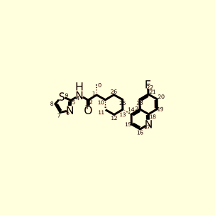 C[C@@H](C(=O)Nc1nccs1)[C@H]1CC[C@@H](c2ccnc3ccc(F)cc32)CC1